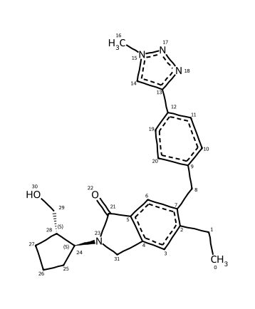 CCc1cc2c(cc1Cc1ccc(-c3cn(C)nn3)cc1)C(=O)N([C@H]1CCC[C@@H]1CO)C2